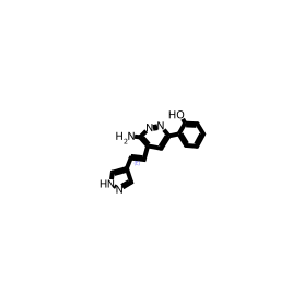 Nc1nnc(-c2ccccc2O)cc1/C=C/c1cn[nH]c1